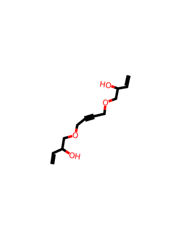 C=CC(O)COCC#CCOCC(O)C=C